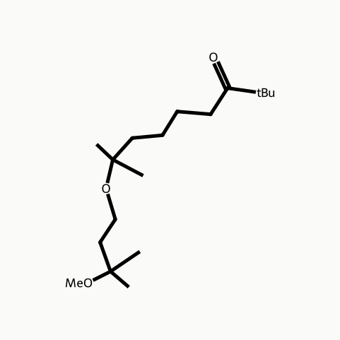 COC(C)(C)CCOC(C)(C)CCCCC(=O)C(C)(C)C